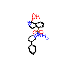 N[N+]1(S(=O)(=O)c2cccc3c(O)nccc23)CCCC(c2ccccc2)C1